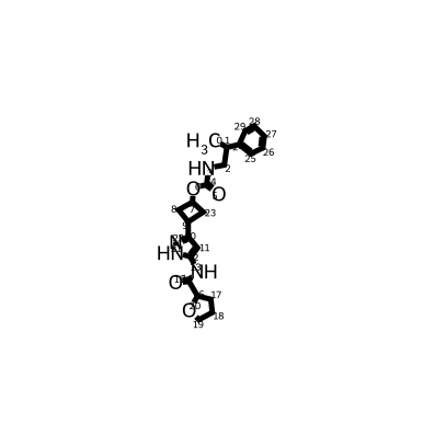 CC(CNC(=O)OC1CC(c2cc(NC(=O)C3CCCO3)[nH]n2)C1)c1ccccc1